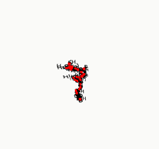 CCOC(=O)[C@@H](C)NP(=O)(N[C@@H](C)C(=O)O)C(F)(F)c1ccc2sc(C(=O)N[C@H]3CN(CC(F)F)CC[C@H]4CC[C@@H](C(=O)N[C@@H](CCC(N)=O)C(=O)N[C@@H](Cc5ccc(C(C)(C)C)cc5)C(=O)N5CCN(CCNc6cccc7c6CN(C6CCC(=O)NC6=O)C7=O)CC5)N4C3=O)cc2c1